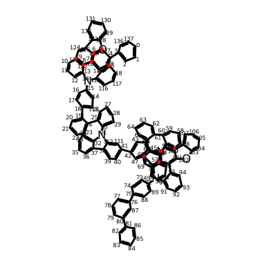 c1ccc(-c2ccc(-c3ccccc3N(c3ccc(-c4ccccc4-c4ccccc4-n4c5ccccc5c5ccc(-c6ccc7c(c6)c6ccccc6n7-c6ccccc6-c6ccccc6-c6ccc(N(c7ccc(-c8cccc(-c9ccccc9)c8)cc7)c7ccccc7-c7cccc8c7oc7ccccc78)cc6)cc54)cc3)c3ccccc3-c3cccc4c3oc3ccccc34)cc2)cc1